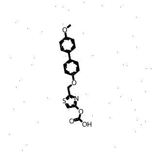 COc1ccc(-c2ccc(OCc3nc(OC(=O)O)cs3)cc2)cc1